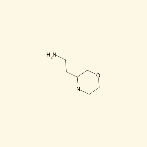 NCCC1COCC[N]1